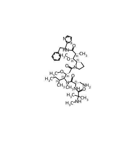 CC[C@H](C)[C@@H]([C@@H](CC(=O)N1CCC[C@H]1[C@H](OC)[C@@H](C)C(=O)N[C@@H](Cc1ccccc1)c1nccs1)OC)N(C)C(=O)[C@H](CN)NC(=O)C(C)(C)NC